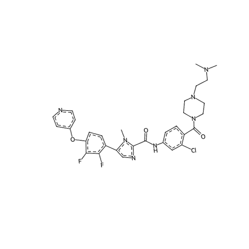 CN(C)CCN1CCN(C(=O)c2ccc(NC(=O)c3ncc(-c4ccc(Oc5ccncc5)c(F)c4F)n3C)cc2Cl)CC1